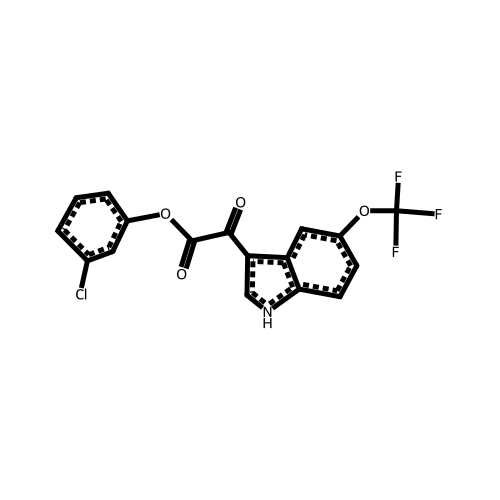 O=C(Oc1cccc(Cl)c1)C(=O)c1c[nH]c2ccc(OC(F)(F)F)cc12